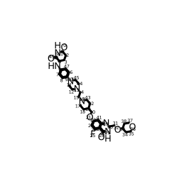 O=C1CCC(Nc2ccc(N3CCN(CCN4CCC(COc5cc(F)c6c(=O)[nH]c(COC7CCOCC7)nc6c5)CC4)CC3)cc2)C(=O)N1